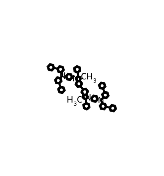 Cc1c(-c2ccccc2)n(-c2ccc(N(c3cccc(-c4ccccc4)c3)c3cccc(-c4ccccc4)c3)cc2)c2ccc(-c3ccc4c(c3)c(C)c(-c3ccccc3)n4-c3ccc(N(c4cccc(-c5ccccc5)c4)c4cccc(-c5ccccc5)c4)cc3)cc12